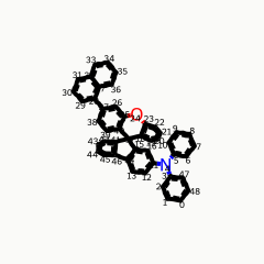 c1ccc(N(c2ccccc2)c2ccc3c(c2)C2(c4ccccc4Oc4cc(-c5cccc6ccccc56)ccc42)c2ccccc2-3)cc1